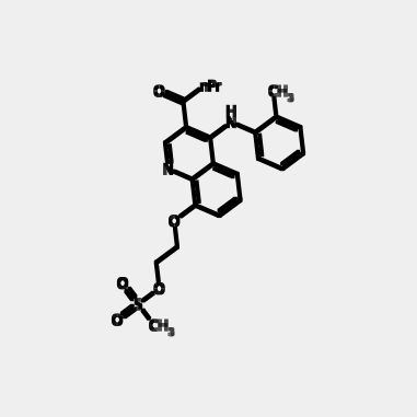 CCCC(=O)c1cnc2c(OCCOS(C)(=O)=O)cccc2c1Nc1ccccc1C